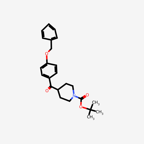 CC(C)(C)OC(=O)N1CCC(C(=O)c2ccc(OCc3ccccc3)cc2)CC1